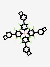 Fc1c(F)c([B-](c2c(F)c(F)c(-c3ccc4c(c3)CC4)c(F)c2F)(c2c(F)c(F)c(-c3ccc4c(c3)CC4)c(F)c2F)c2c(F)c(F)c(-c3ccc4c(c3)CC4)c(F)c2F)c(F)c(F)c1-c1ccc2c(c1)CC2